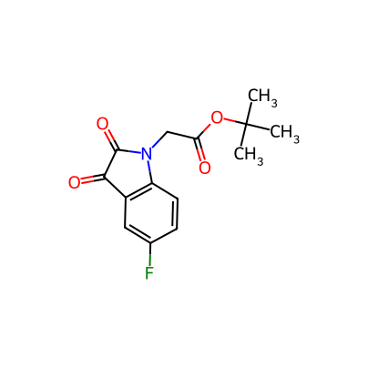 CC(C)(C)OC(=O)CN1C(=O)C(=O)c2cc(F)ccc21